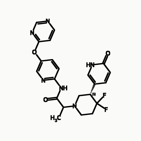 CC(C(=O)Nc1ccc(Oc2ccncn2)cn1)N1CCC(F)(F)[C@@H](c2ccc(=O)[nH]c2)C1